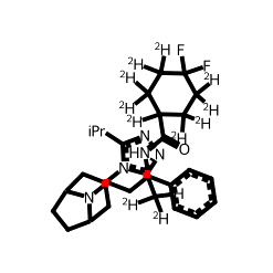 [2H]C([2H])([2H])c1nnc(C(C)C)n1C1CC2CCC(C1)N2CCC(NC(=O)C1([2H])C([2H])([2H])C([2H])([2H])C(F)(F)C([2H])([2H])C1([2H])[2H])c1ccccc1